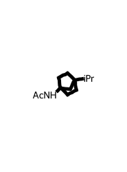 CC(=O)NC12CCC(C(C)C)(CC1)C2